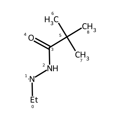 CC[N]NC(=O)C(C)(C)C